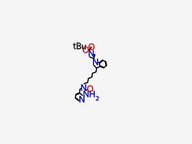 CC(C)(C)OC(=O)N1CC(N2CC(CCCCCCN(Cc3cccnc3)C(N)=O)c3ccccc32)C1